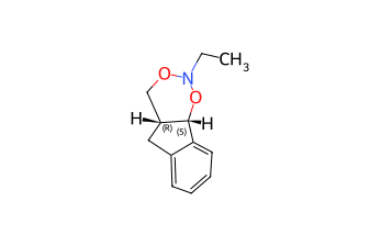 CCN1OC[C@H]2Cc3ccccc3[C@H]2O1